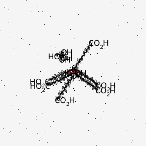 O=C(O)CCCCCCCCCCCCCOC(CCCCCCCCCCCCCC(=O)O)(CCCCCCCCCCCCCC(=O)O)C(CO)(CO)C(CCCCCCCCCCCCCC(=O)O)(CCCCCCCCCCCCCC(=O)O)OCCCCCCCCCCCCCC(=O)O.OCC(CO)(CO)CO